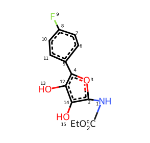 CCOC(=O)Nc1oc(-c2ccc(F)cc2)c(O)c1O